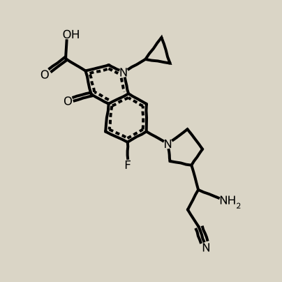 N#CCC(N)C1CCN(c2cc3c(cc2F)c(=O)c(C(=O)O)cn3C2CC2)C1